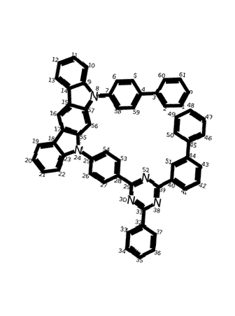 c1ccc(-c2ccc(-n3c4ccccc4c4cc5c6ccccc6n(-c6ccc(-c7nc(-c8ccccc8)nc(-c8cccc(-c9ccccc9)c8)n7)cc6)c5cc43)cc2)cc1